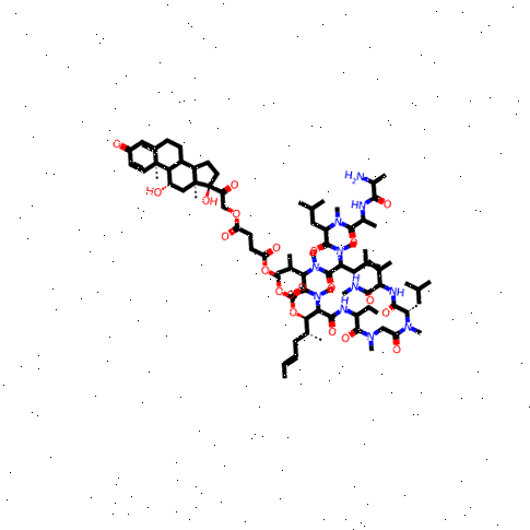 C/C=C/C[C@@H](C)[C@@H](OC(=O)OCOC(=O)CCC(=O)OCC(=O)[C@@]1(O)CCC2C3CCC4=CC(=O)C=C[C@]4(C)C3[C@@H](O)C[C@@]21C)C(C(=O)NC(CC)C(=O)N(C)CC(=O)N(C)[C@@H](CC(C)C)C(=O)NC(C(=O)NC)C(C)C)N(C)C(=O)C(C(C)C)N(C)C(=O)C(CC(C)C)N(C)C(=O)C(CC(C)C)N(C)C(=O)C(C)NC(=O)C(C)N